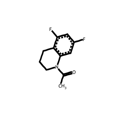 CC(=O)N1CCCc2c(F)cc(F)cc21